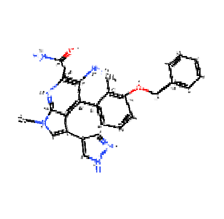 CCn1cc(-c2cn[nH]c2)c2c(-c3cccc(OCc4ccccc4)c3C)c(N)c(C(N)=O)nc21